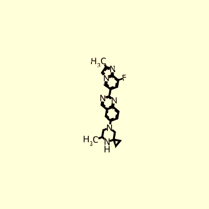 Cc1cn2cc(-c3ncc4cc(N5CC(C)NC6(CC6)C5)ccc4n3)cc(F)c2n1